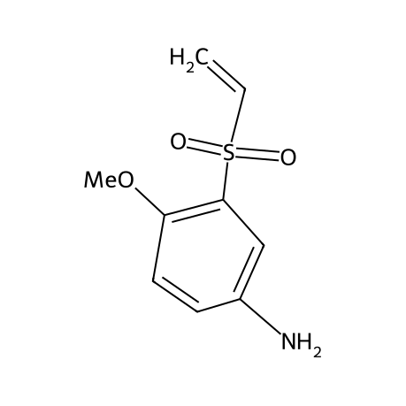 C=CS(=O)(=O)c1cc(N)ccc1OC